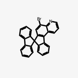 Brc1cc2c(c3cccnc13)-c1ccccc1C21c2ccccc2-c2ccccc21